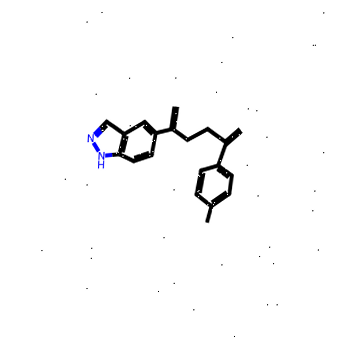 C=C(CCC(=C)c1ccc2[nH]ncc2c1)c1ccc(C)cc1